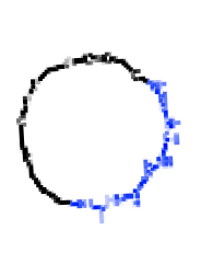 C1CCCCCCCNNNNNNNNNNCCCCCC1